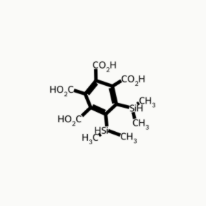 C[SiH](C)c1c(C(=O)O)c(C(=O)O)c(C(=O)O)c(C(=O)O)c1[SiH](C)C